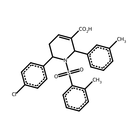 Cc1cccc(C2C(C(=O)O)=CCC(c3ccc(Cl)cc3)N2S(=O)(=O)c2ccccc2C)c1